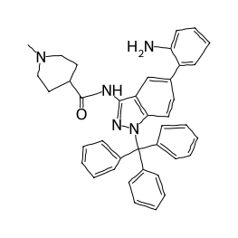 CN1CCC(C(=O)Nc2nn(C(c3ccccc3)(c3ccccc3)c3ccccc3)c3ccc(-c4ccccc4N)cc23)CC1